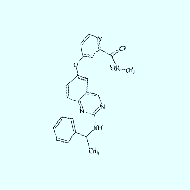 CNC(=O)c1cc(Oc2ccc3nc(NC(C)c4ccccc4)ncc3c2)ccn1